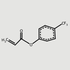 C=CC(=O)Oc1ccc(C(F)(F)F)cc1